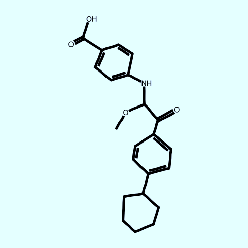 COC(Nc1ccc(C(=O)O)cc1)C(=O)c1ccc(C2CCCCC2)cc1